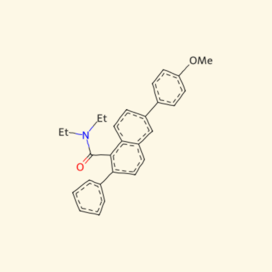 CCN(CC)C(=O)c1c(-c2ccccc2)ccc2cc(-c3ccc(OC)cc3)ccc12